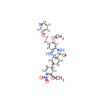 COc1cc2c(cc1CCOc1cccnc1)Nc1cc(-c3ccc([N+](=O)[O-])c(OC)c3)ccc1C(=O)N2